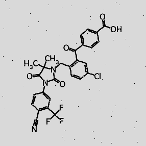 CC1(C)C(=O)N(c2ccc(C#N)c(C(F)(F)F)c2)C(=O)N1Cc1ccc(Cl)cc1C(=O)c1ccc(C(=O)O)cc1